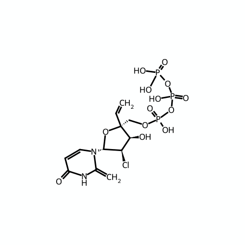 C=C[C@]1(COP(=O)(O)OP(=O)(O)OP(=O)(O)O)O[C@@H](N2C=CC(=O)NC2=C)[C@H](Cl)[C@@H]1O